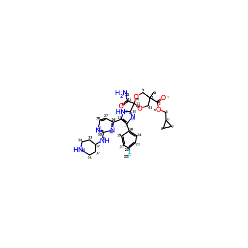 CC1(C(=O)OCC2CC2)COC(C(N)=O)(c2nc(-c3ccc(F)cc3)c(-c3ccnc(NC4CCNCC4)n3)[nH]2)OC1